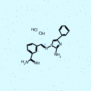 Cl.Cl.N=C(N)c1cccc(/C=N/n2cc(-c3ccccc3)nc2N)c1